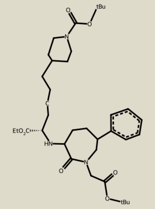 CCOC(=O)[C@H](CCCCC1CCN(C(=O)OC(C)(C)C)CC1)NC1CCC(c2ccccc2)CN(CC(=O)OC(C)(C)C)C1=O